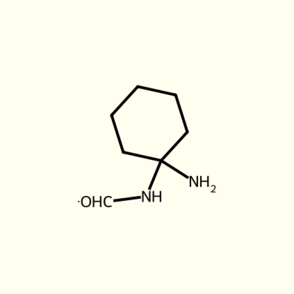 NC1(N[C]=O)CCCCC1